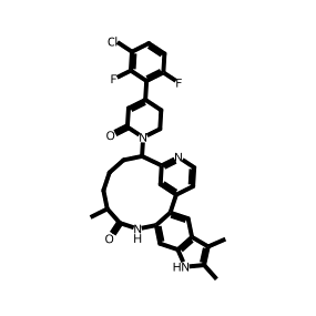 Cc1[nH]c2cc3c(cc2c1C)-c1ccnc(c1)C(N1CCC(c2c(F)ccc(Cl)c2F)=CC1=O)CCCC(C)C(=O)N3